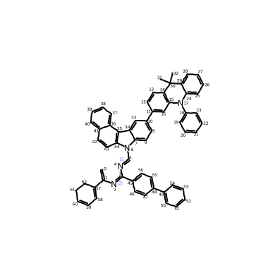 C=C(/N=C(\N=C\n1c2ccc(-c3ccc4c(c3)N(c3ccccc3)c3ccccc3C4(C)C)cc2c2c3ccccc3ccc21)c1ccc(-c2ccccc2)cc1)C1=CC=CCC1